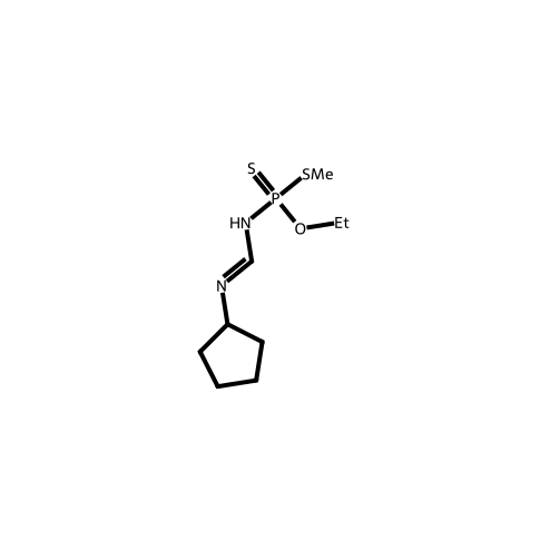 CCOP(=S)(N/C=N/C1CCCC1)SC